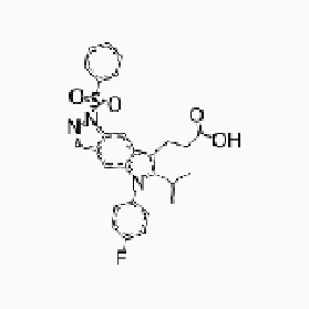 CC(C)c1c(CCC(=O)O)c2cc3c(cnn3S(=O)(=O)c3ccccc3)cc2n1-c1ccc(F)cc1